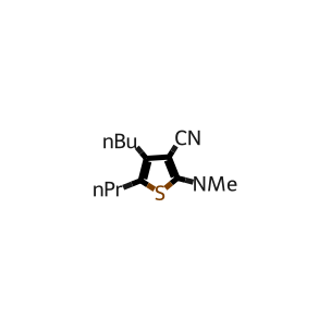 CCCCc1c(CCC)sc(NC)c1C#N